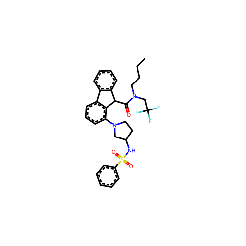 CCCCN(CC(F)(F)F)C(=O)C1c2ccccc2-c2cccc(N3CCC(NS(=O)(=O)c4ccccc4)C3)c21